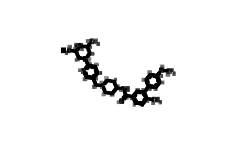 Cc1ccc(C(=O)NC2CCN(Cc3ccc(N4CC(C)NC(C)C4)nc3)CC2)cc1-c1ccc(OC(F)(F)F)cc1